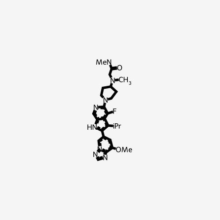 CNC(=O)CN(C)C1CCN(c2ncc3[nH]c(-c4cc(OC)c5ncnn5c4)c(C(C)C)c3c2F)CC1